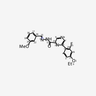 CCOc1ccc(-c2cncc(C(=O)N/N=C/c3cccc(OC)c3)n2)c(F)c1